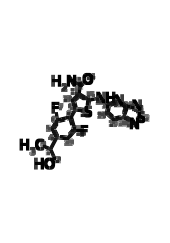 CC(CO)c1cc(F)c(-c2cc(C(N)=O)c(Nc3ccc4nsnc4n3)s2)c(F)c1